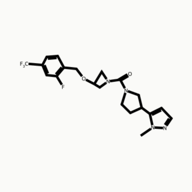 Cn1nccc1C1CCN(C(=O)N2CC(OCc3ccc(C(F)(F)F)cc3F)C2)C1